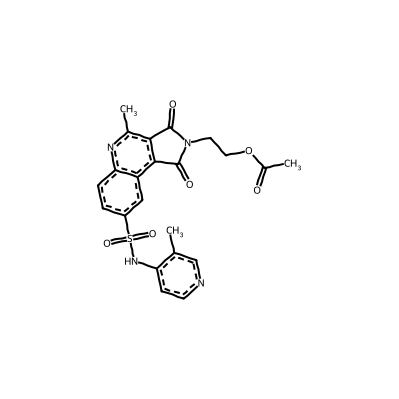 CC(=O)OCCN1C(=O)c2c(C)nc3ccc(S(=O)(=O)Nc4ccncc4C)cc3c2C1=O